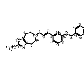 Nc1nc2c(s1)CCN(CC=Cc1cccc(OCc3ccccc3)n1)CC2